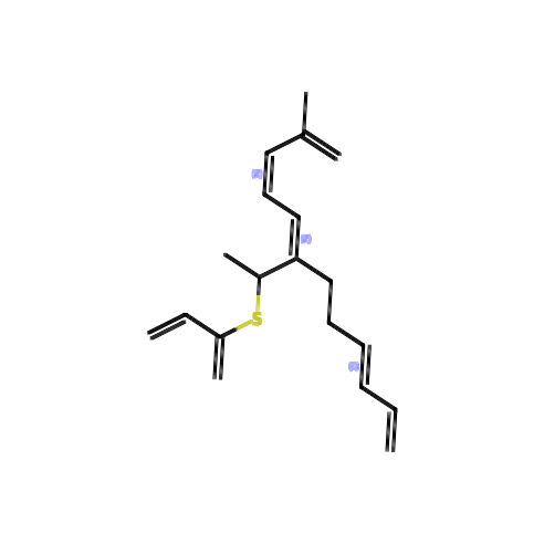 C=C/C=C/CC/C(=C/C=C\C(=C)C)C(C)SC(=C)C=C